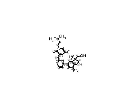 CN(C)CCn1cc(Cl)cc(Nc2nccc(-c3cc(C#N)c4c(c3)[C@@](C)(CO)CN4)n2)c1=O